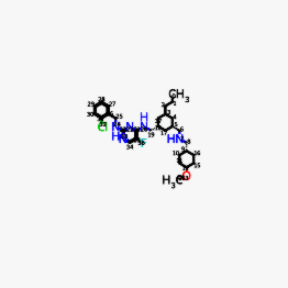 CCCC1C[C@@H](CNC[C@H]2CC[C@H](OC)CC2)C[C@H](CNc2nc(NCc3ccccc3Cl)ncc2F)C1